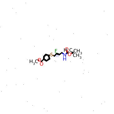 COC(=O)c1ccc(SC/C(F)=C/CNC(=O)OC(C)(C)C)cc1